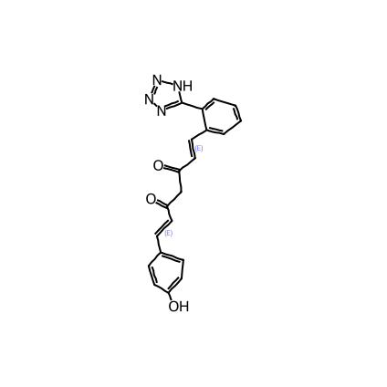 O=C(/C=C/c1ccc(O)cc1)CC(=O)/C=C/c1ccccc1-c1nnn[nH]1